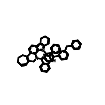 C1#CC2=C(CCC1)c1ccc3c4c(n(-c5cccc(-c6cccc(Cc7ccccc7)c6)c5)c3c1N(C1=NC(c3ccccc3)Nc3ccccc31)C2)C=CCC4